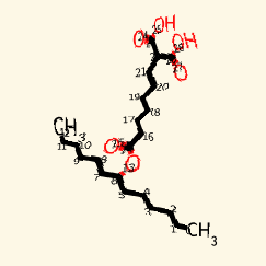 CCCCCCC(CCCCCC)OC(=O)CCCCCCC(C(=O)O)C(=O)O